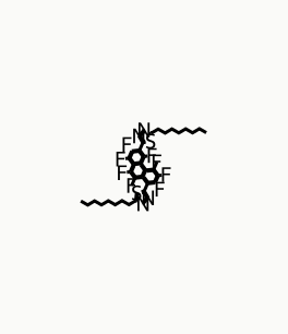 CCCCCCCCc1nnc(-c2c(F)c(F)c3c(F)c(F)c4c(-c5nnc(CCCCCCCC)s5)c(F)c(F)c(F)c4c3c2F)s1